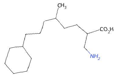 CC(CCCC1CCCCC1)CCC(CN)C(=O)O